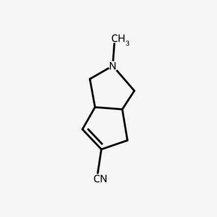 CN1CC2C=C(C#N)CC2C1